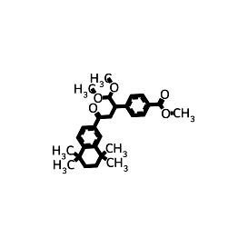 COC(=O)c1ccc(C(CC(=O)c2ccc3c(c2)C(C)(C)CCC3(C)C)C(OC)OC)cc1